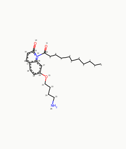 CCCCCCCCCCC(=O)n1c(=O)ccc2ccc(OCCCCN)cc21